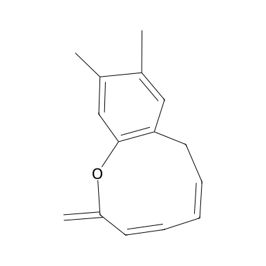 C=C1/C=C\C=C/Cc2cc(C)c(C)cc2O1